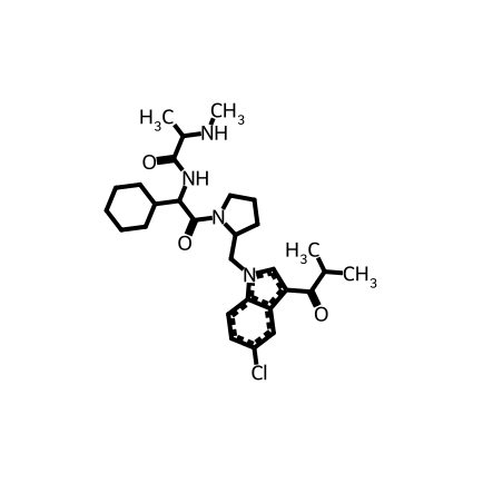 CNC(C)C(=O)NC(C(=O)N1CCCC1Cn1cc(C(=O)C(C)C)c2cc(Cl)ccc21)C1CCCCC1